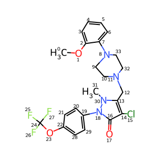 COc1ccccc1N1CCN(Cc2c(Cl)c(=O)n(-c3ccc(OC(F)(F)F)cc3)n2C)CC1